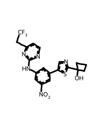 O=[N+]([O-])c1cc(Nc2nccc(CC(F)(F)F)n2)cc(-c2cnc(C3(O)CCC3)s2)c1